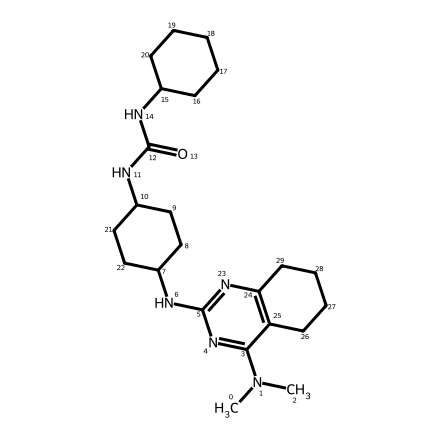 CN(C)c1nc(NC2CCC(NC(=O)NC3CCCCC3)CC2)nc2c1CCCC2